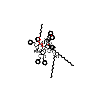 CCCCCCCCCCCC(=O)O[C@H](CCCCCCCCCCC)CC(=O)N[C@H]1[C@H](OC[C@H]2O[C@H](OCC=O)[C@H](NC(=O)C[C@@H](CCCCCCCCCCC)OCc3ccccc3)[C@@H](OCc3ccccc3)[C@@H]2OCc2ccccc2)O[C@H](COCc2ccccc2)[C@@H](OP(=O)(OCc2ccccc2)OCc2ccccc2)[C@@H]1OCc1ccccc1